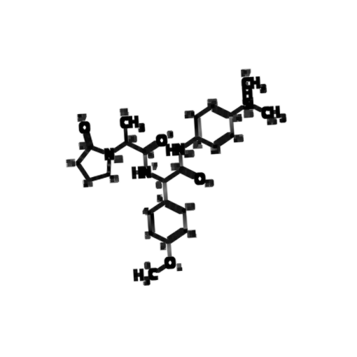 COc1ccc(C(NC(=O)C(C)N2CCCC2=O)C(=O)Nc2ccc([SiH](C)C)cc2)cc1